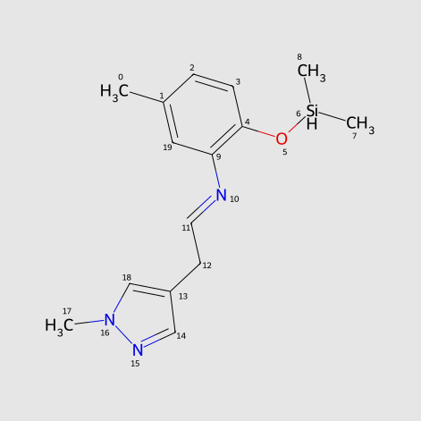 Cc1ccc(O[SiH](C)C)c(N=CCc2cnn(C)c2)c1